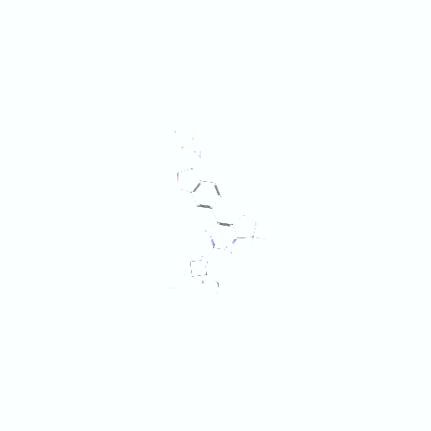 CS(=O)(=O)N[C@H]1COc2cc(-c3nc(N4C[C@@H](O)[C@@H]4CF)nc4c3CCC4(F)F)ccc21